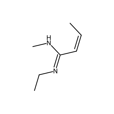 C/C=C\C(=N\CC)NC